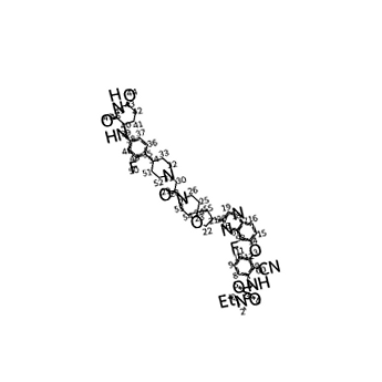 CCN(C)S(=O)(=O)Nc1ccc(F)c(Oc2ccc3ncc([C@H]4COC5(CCN(C(=O)CN6CCC(c7ccc(NC8CCC(=O)NC8=O)cc7F)CC6)CC5)C4)nc3c2)c1C#N